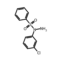 NN(c1cccc(Cl)c1)S(=O)(=O)c1ccccc1